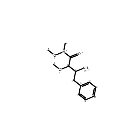 COC(C(=O)N(C)OC)C(N)Cc1ccccc1